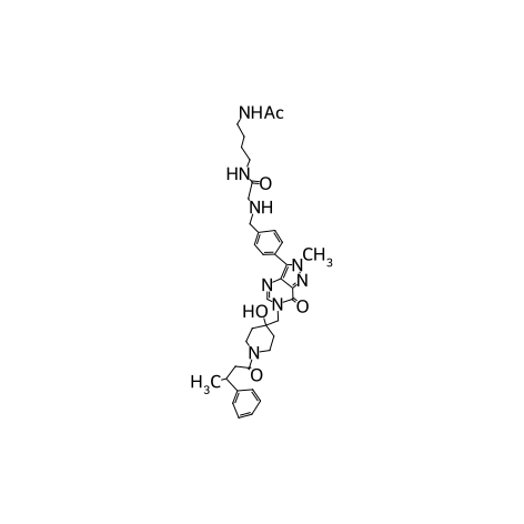 CC(=O)NCCCCNC(=O)CNCc1ccc(-c2c3ncn(CC4(O)CCN(C(=O)CC(C)c5ccccc5)CC4)c(=O)c3nn2C)cc1